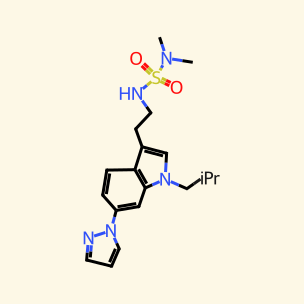 CC(C)Cn1cc(CCNS(=O)(=O)N(C)C)c2ccc(-n3cccn3)cc21